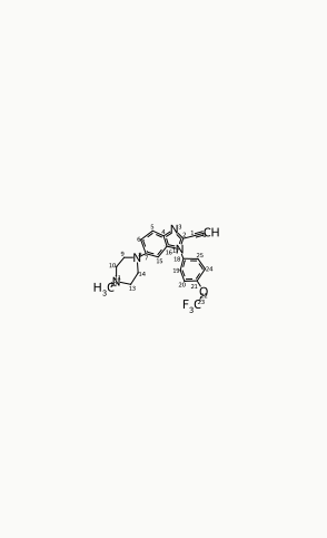 C#Cc1nc2ccc(N3CCN(C)CC3)cc2n1-c1ccc(OC(F)(F)F)cc1